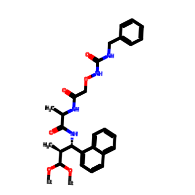 CCOC(OCC)[C@@H](C)[C@H](NC(=O)C(C)NC(=O)CONC(=O)NCc1ccccc1)c1cccc2ccccc12